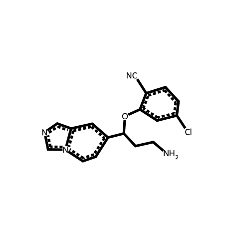 N#Cc1ccc(Cl)cc1OC(CCN)c1ccn2cncc2c1